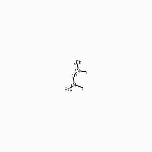 CCN(C)ON(C)CC